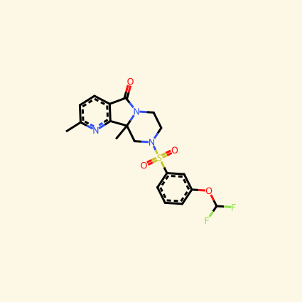 Cc1ccc2c(n1)C1(C)CN(S(=O)(=O)c3cccc(OC(F)F)c3)CCN1C2=O